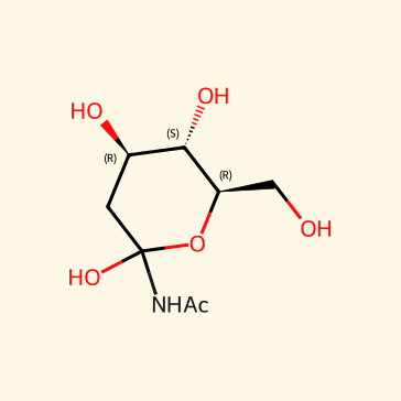 CC(=O)NC1(O)C[C@@H](O)[C@H](O)[C@@H](CO)O1